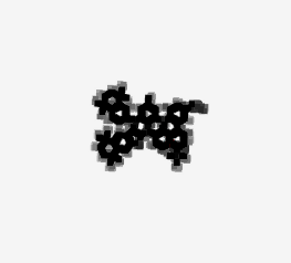 Cc1cc2c3c(c1)N(c1ccc4c(c1)C(C)(C)CCC4(C)C)c1c(sc4cc5c(cc14)C(C)(C)CCC5(C)C)B3c1ccc(C(C)(C)C)cc1N2c1ccc(C(C)(C)C)cc1-c1ccc([Si](C)(C)C)cc1